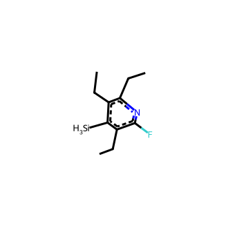 CCc1nc(F)c(CC)c([SiH3])c1CC